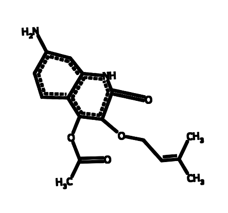 CC(=O)Oc1c(OCC=C(C)C)c(=O)[nH]c2cc(N)ccc12